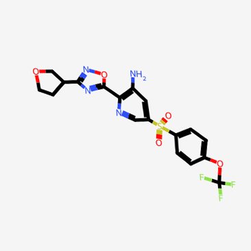 Nc1cc(S(=O)(=O)c2ccc(OC(F)(F)F)cc2)cnc1-c1nc(C2CCOC2)no1